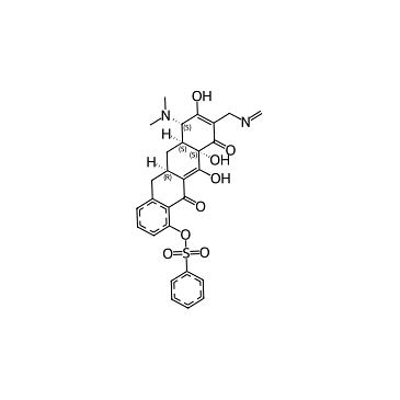 C=NCC1=C(O)[C@@H](N(C)C)[C@@H]2C[C@@H]3Cc4cccc(OS(=O)(=O)c5ccccc5)c4C(=O)C3=C(O)[C@]2(O)C1=O